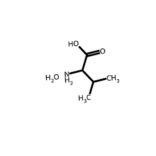 CC(C)C(N)C(=O)O.O